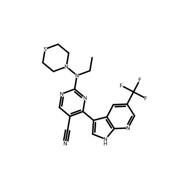 CCN(c1ncc(C#N)c(-c2c[nH]c3ncc(C(F)(F)F)cc23)n1)N1CCSCC1